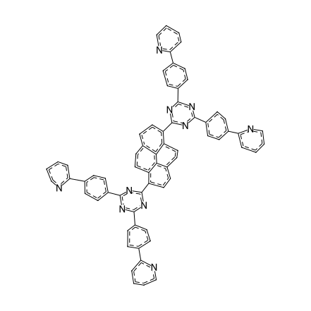 c1ccc(-c2ccc(-c3nc(-c4ccc(-c5ccccn5)cc4)nc(-c4ccc5ccc6c(-c7nc(-c8ccc(-c9ccccn9)cc8)nc(-c8ccc(-c9ccccn9)cc8)n7)ccc7ccc4c5c76)n3)cc2)nc1